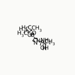 CNC(N)(CO)n1cc(B2OC(C)(C)C(C)(C)O2)cn1